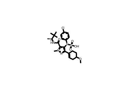 COC1CC=C(c2nn(C)c(C(=O)N[C@@H](C)C(C)(C)C)c2N(c2ccc(Cl)cc2)S(=O)(=O)O)CC1